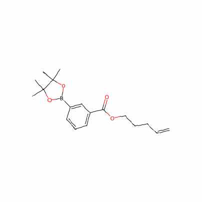 C=CCCCOC(=O)c1cccc(B2OC(C)(C)C(C)(C)O2)c1